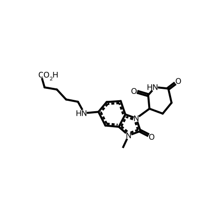 Cn1c(=O)n(C2CCC(=O)NC2=O)c2ccc(NCCCCC(=O)O)cc21